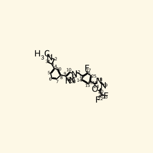 CN1CC(c2cccc(-c3cn(Cc4ccc(-c5nnc(C(F)F)o5)cc4F)nn3)c2)C1